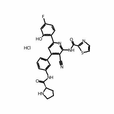 Cl.N#Cc1c(-c2cccc(NC(=O)[C@H]3CCCN3)c2)cc(-c2ccc(F)cc2O)nc1NC(=O)c1nccs1